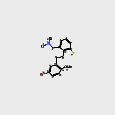 CCN(CC)Cc1cccc(F)c1CCc1cc(Br)ccc1OC